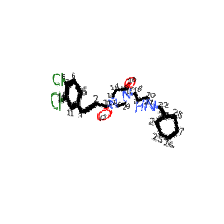 O=C(/C=C/c1ccc(Cl)c(Cl)c1)N1CCC(=O)N(CCCNCC2CCCCC2)CC1